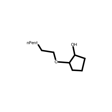 CCCCCCCOC1CCCC1O